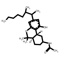 CCCCCC(C)C(C)c1cc(O)c2c(c1)OC(C)(C)[C@@H]1CCC(NC(C)=O)C[C@@H]21